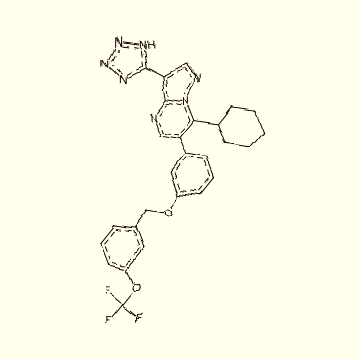 FC(F)(F)Oc1cccc(COc2cccc(-c3cnc4c(-c5nnn[nH]5)cnn4c3C3CCCCC3)c2)c1